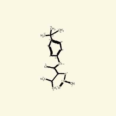 CC(C)C(OS(=O)O)C(Cl)Oc1ccc(C(C)(C)C)cc1